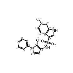 O=S(=O)(Nc1cnn(-c2ccccc2)c1Cl)c1c[nH]c2cc(Cl)ccc12